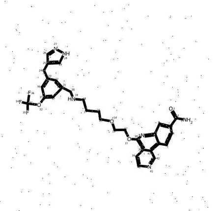 NC(=O)c1ccc2c(c1)nc(OCCOCCCCNCc1cc(Cc3cn[nH]c3)cc(OC(F)(F)F)c1)c1ccncc12